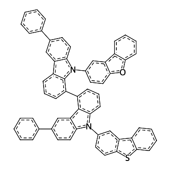 c1ccc(-c2ccc3c(c2)c2c(-c4cccc5c6cc(-c7ccccc7)ccc6n(-c6ccc7oc8ccccc8c7c6)c45)cccc2n3-c2ccc3sc4ccccc4c3c2)cc1